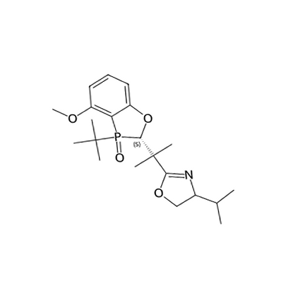 COc1cccc2c1P(=O)(C(C)(C)C)[C@@H](C(C)(C)C1=NC(C(C)C)CO1)O2